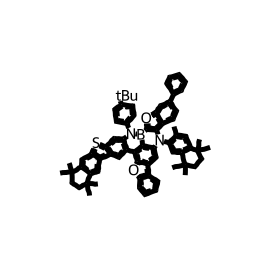 Cc1cc2c(cc1N1c3cc4c(oc5ccccc54)c4c3B(c3oc5cc(-c6ccccc6)ccc5c31)N(c1ccc(C(C)(C)C)cc1)c1cc3sc5cc6c(cc5c3cc1-4)C(C)(C)CCC6(C)C)C(C)(C)CCC2(C)C